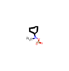 CN(O[SH](=O)=O)c1ccccc1